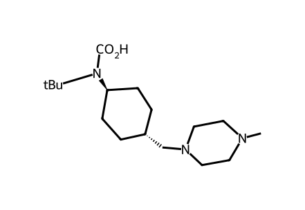 CN1CCN(C[C@H]2CC[C@H](N(C(=O)O)C(C)(C)C)CC2)CC1